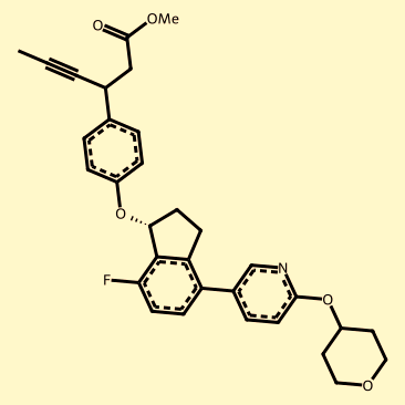 CC#CC(CC(=O)OC)c1ccc(O[C@@H]2CCc3c(-c4ccc(OC5CCOCC5)nc4)ccc(F)c32)cc1